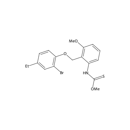 CCc1ccc(OCc2c(NC(=S)OC)cccc2OC)c(Br)c1